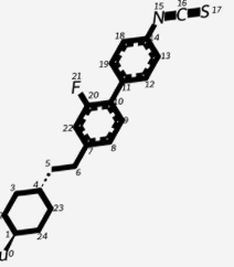 CCCC[C@H]1CC[C@H](CCc2ccc(-c3ccc(N=C=S)cc3)c(F)c2)CC1